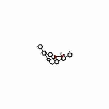 Fc1ccc2c(c1)C1(c3cc(-c4ccc(-c5cccnc5)nc4)ccc3C=Cc3ccc(-c4ccc(-c5cccnc5)nc4)cc31)n1nc(C(F)(F)F)cc1-2